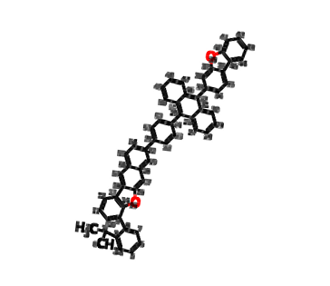 CC1(C)c2ccccc2-c2c1ccc1c2oc2cc3cc(-c4ccc(-c5c6ccccc6c(-c6ccc7c(c6)oc6ccccc67)c6ccccc56)cc4)ccc3cc21